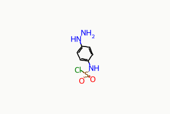 NNc1ccc(NS(=O)(=O)Cl)cc1